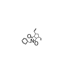 C=CC1CC(C=C)C2C(=O)N(Cc3ccccc3)C(=O)C12